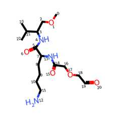 COCC(NC(=O)C(CCCCN)NC(=O)COCC=O)C(C)C